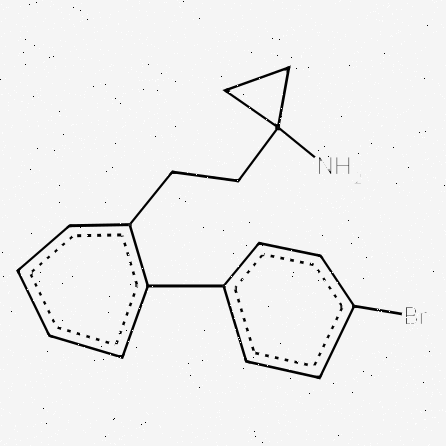 NC1(CCc2ccccc2-c2ccc(Br)cc2)CC1